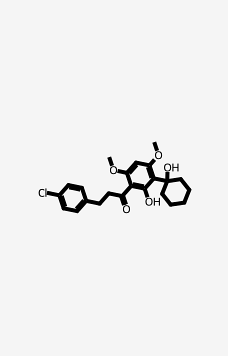 COc1cc(OC)c(C2(O)CCCCC2)c(O)c1C(=O)CCc1ccc(Cl)cc1